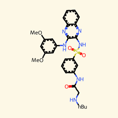 CCCCNCC(=O)Nc1cccc(S(=O)(=O)Nc2nc3ccccc3nc2Nc2cc(OC)cc(OC)c2)c1